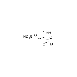 CCS(=O)(=O)CCOS(=O)(=O)O.CN